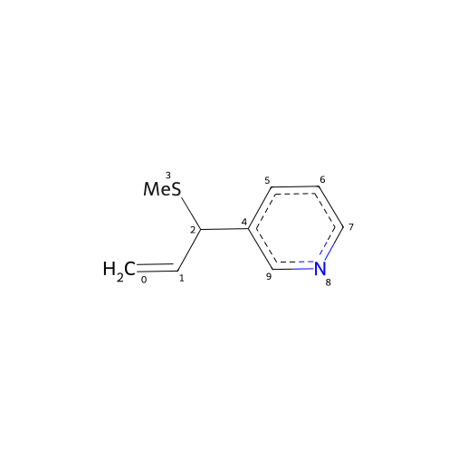 C=CC(SC)c1cccnc1